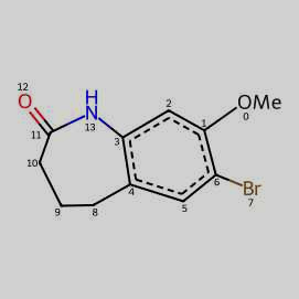 COc1cc2c(cc1Br)CCCC(=O)N2